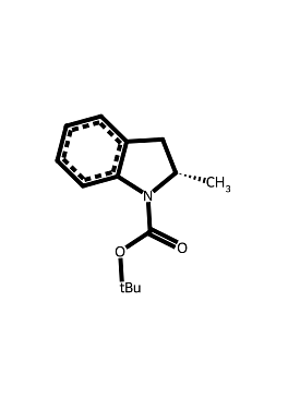 C[C@H]1Cc2ccccc2N1C(=O)OC(C)(C)C